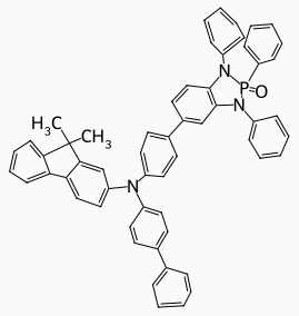 CC1(C)c2ccccc2-c2ccc(N(c3ccc(-c4ccccc4)cc3)c3ccc(-c4ccc5c(c4)N(c4ccccc4)P(=O)(c4ccccc4)N5c4ccccc4)cc3)cc21